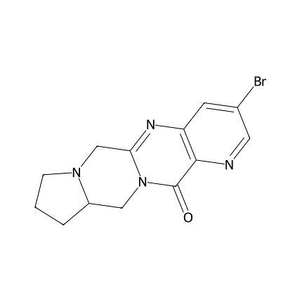 O=c1c2ncc(Br)cc2nc2n1CC1CCCN1C2